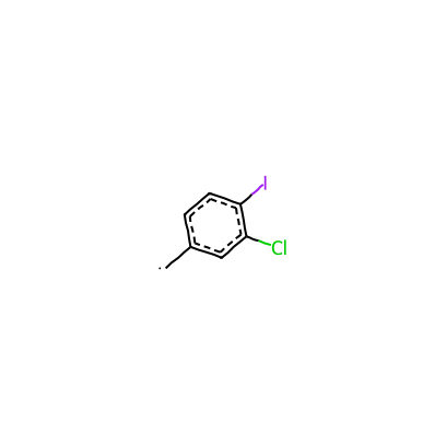 [CH2]c1ccc(I)c(Cl)c1